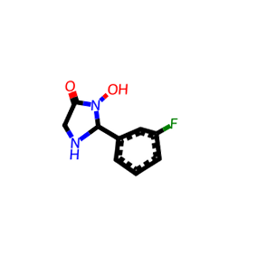 O=C1CNC(c2cccc(F)c2)N1O